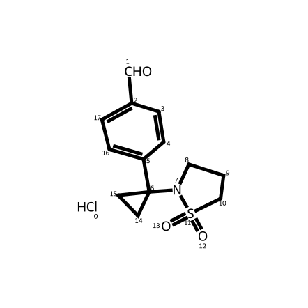 Cl.O=Cc1ccc(C2(N3CCCS3(=O)=O)CC2)cc1